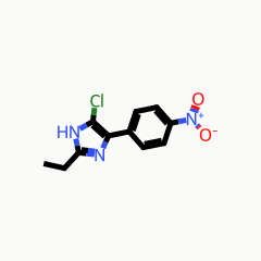 CCc1nc(-c2ccc([N+](=O)[O-])cc2)c(Cl)[nH]1